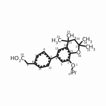 CC(C)Oc1cc(-c2ccc(CC(=O)O)cc2)cc2c1OC(C)(C)CC2(C)C